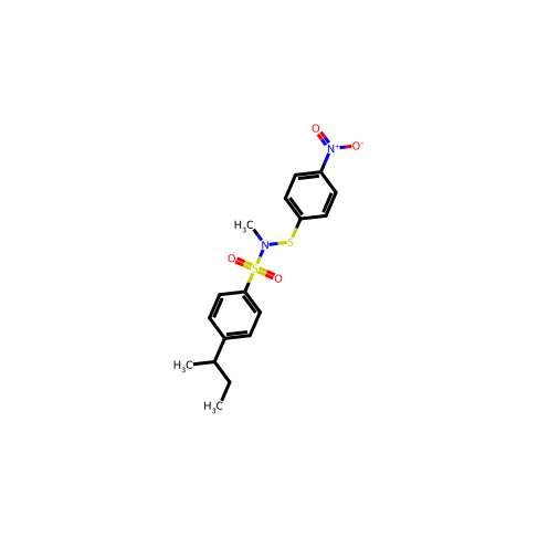 CCC(C)c1ccc(S(=O)(=O)N(C)Sc2ccc([N+](=O)[O-])cc2)cc1